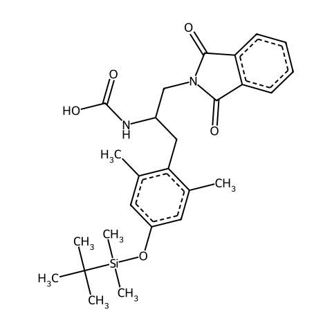 Cc1cc(O[Si](C)(C)C(C)(C)C)cc(C)c1CC(CN1C(=O)c2ccccc2C1=O)NC(=O)O